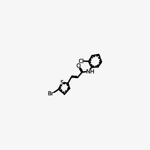 O=C(/C=C/c1ccc(Br)s1)Nc1ccccc1Cl